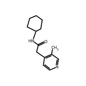 Cc1cnccc1CC(=O)NC1CCCCC1